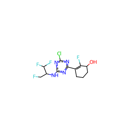 OC1CCCC(c2nc(Cl)nc(NC(CF)C(F)F)n2)=C1F